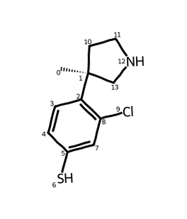 C[C@]1(c2ccc(S)cc2Cl)CCNC1